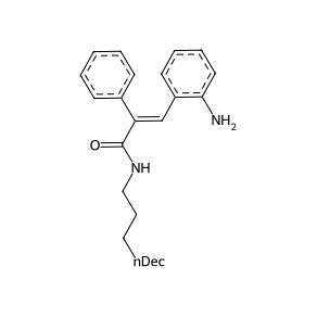 CCCCCCCCCCCCCNC(=O)/C(=C/c1ccccc1N)c1ccccc1